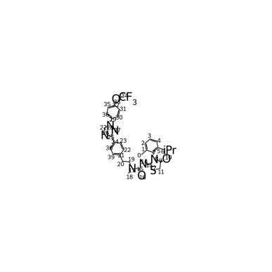 Cc1cccc(C(C)C)c1N1C(=O)CS/C1=N\C(=O)N(C)CCc1ccc(-c2ncn(-c3ccc(OC(F)(F)F)cc3)n2)cc1